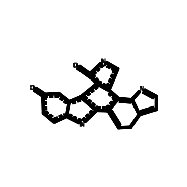 O=c1ccc2nc3c4c(c5cnc(=O)c5c3c-2c1)=C1N=CC=C1CC=4